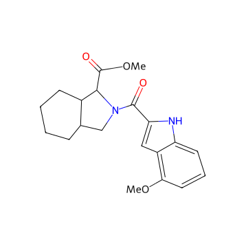 COC(=O)C1C2CCCCC2CN1C(=O)c1cc2c(OC)cccc2[nH]1